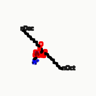 CCCCCCCC/C=C\CCCCCCCCCC(=O)O[C@H](COC(=O)CCCCCCCCCCCCCCCCCCCCC)COP(=O)(O)OCC[N+](C)(C)C